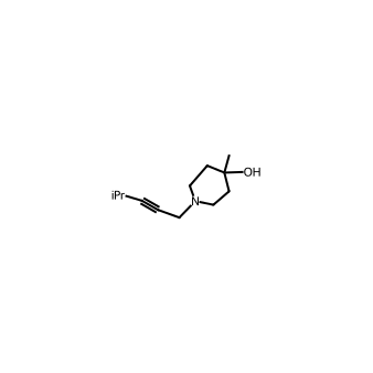 CC(C)C#CCN1CCC(C)(O)CC1